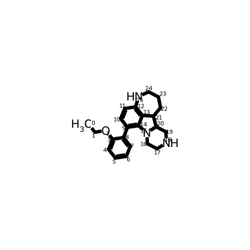 CCOc1ccccc1-c1ccc2c3c1N1CCNCC1C3CCCN2